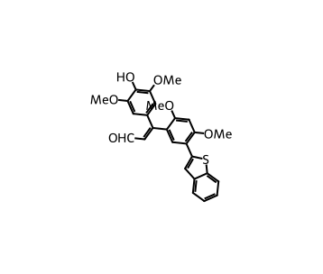 COc1cc(OC)c(-c2cc3ccccc3s2)cc1C(=CC=O)c1cc(OC)c(O)c(OC)c1